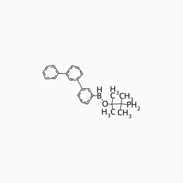 CC(C)(P)C(C)(C)OBc1cccc(-c2cccc(-c3ccccc3)c2)c1